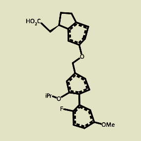 COc1ccc(F)c(-c2ccc(COc3ccc4c(c3)[C@@H](CC(=O)O)CC4)cc2OC(C)C)c1